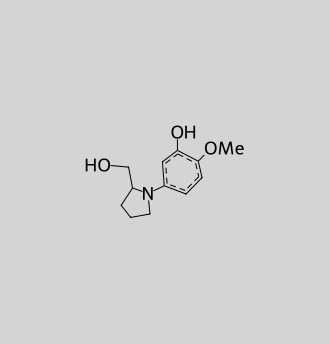 COc1ccc(N2CCCC2CO)cc1O